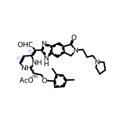 CC(=O)O[C@H](CNC(/C=C\N)=C(/C=O)c1nc2cc3c(cc2[nH]1)CN(CCCN1CCCC1)C3=O)COc1ccc(C)cc1C